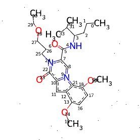 CCCC(NC(=O)c1cn2c(cc3c(OC)ccc(OC)c32)c(=O)n1CCCOCC)C(C)C